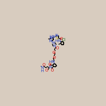 CNC(=O)CCC(C=O)N1C(=O)c2cccc(NCCOCCOCCC(=O)N3CCN(c4cc(Nc5ncc(C(=O)Nc6c(C)cccc6Cl)s5)nc(C)n4)CC3)c2C1=O